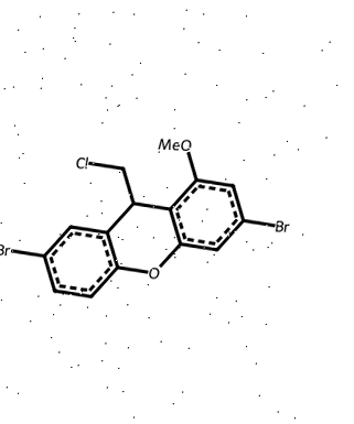 COc1cc(Br)cc2c1C(CCl)c1cc(Br)ccc1O2